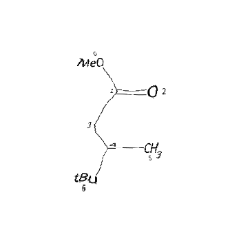 COC(=O)CC(C)C(C)(C)C